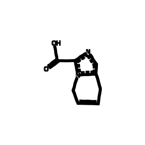 O=C(O)c1ncc2n1CC=CC2